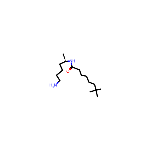 C[C@H](CCCCN)NC(=O)CCCCCC(C)(C)C